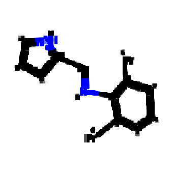 CC(C)c1cccc(C(C)C)c1/N=C/c1ccc[nH]1